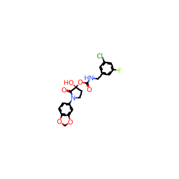 O=C(NCc1cc(F)cc(Cl)c1)O[C@]1(O)CCN(c2ccc3c(c2)OCO3)C1=O